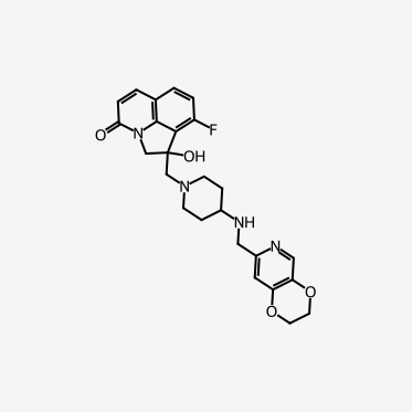 O=c1ccc2ccc(F)c3c2n1CC3(O)CN1CCC(NCc2cc3c(cn2)OCCO3)CC1